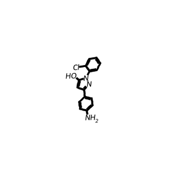 Nc1ccc(-c2cc(O)n(-c3ccccc3Cl)n2)cc1